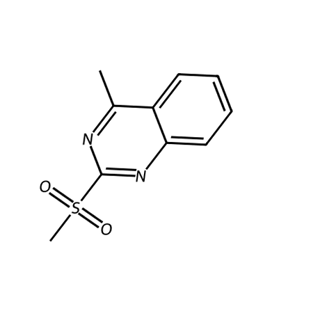 Cc1nc(S(C)(=O)=O)nc2ccccc12